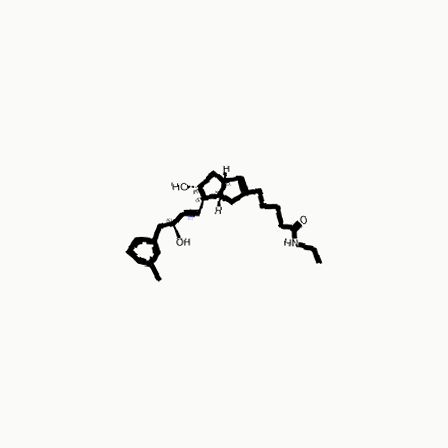 CCNC(=O)CCCCC1=C[C@H]2C[C@@H](O)[C@H](/C=C/[C@@H](O)Cc3cccc(C)c3)[C@H]2C1